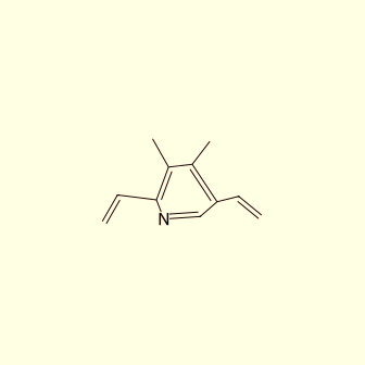 C=Cc1cnc(C=C)c(C)c1C